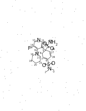 CN(C)S(=O)(=O)C1=CCC(c2cncc(F)c2N2CCCCC2)(S(N)(=O)=O)C=C1